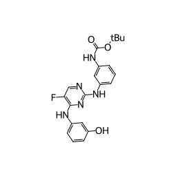 CC(C)(C)OC(=O)Nc1cccc(Nc2ncc(F)c(Nc3cccc(O)c3)n2)c1